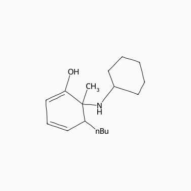 CCCCC1C=CC=C(O)C1(C)NC1CCCCC1